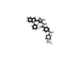 CN1CCC(Nc2ccc(C(=O)Nc3cc(-c4cc5ccccc5n4-c4ccccc4)n[nH]3)cc2)CC1